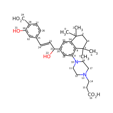 CC1(C)CCC(C)(C)c2c(N3CCN(CCC(=O)O)CC3)cc(C(O)C=Cc3ccc(C(=O)O)c(O)c3)cc21